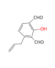 C=CCc1ccc(C=O)c(O)c1C=O